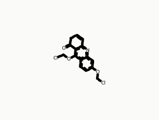 O=C1CC=Cc2nc3cc(OCCl)ccc3c(OCCl)c21